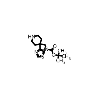 CC(C)(C)OC(=O)NCC1(c2cscn2)CCNCC1